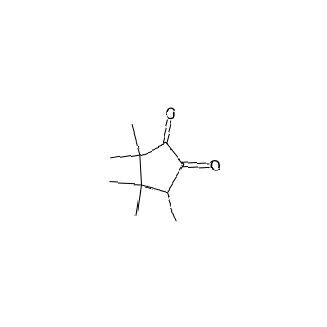 CC1C(=O)C(=O)C(C)(C)C1(C)C